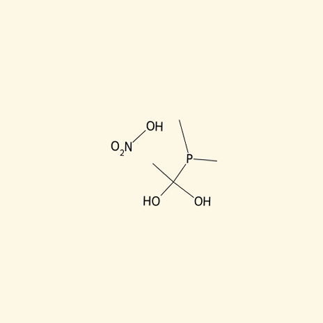 CP(C)C(C)(O)O.O=[N+]([O-])O